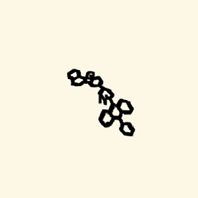 c1ccc(-c2c3ccccc3c(-c3ccc(-c4ccc5oc6c7ccccc7ccc6c5c4)cn3)c3ccccc23)cc1